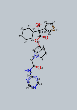 O=C(C[N+]12CCC(CC1)C(OC(=O)[C@](O)(c1ccsc1)C1CCCCC1)C2)Nc1ncncn1